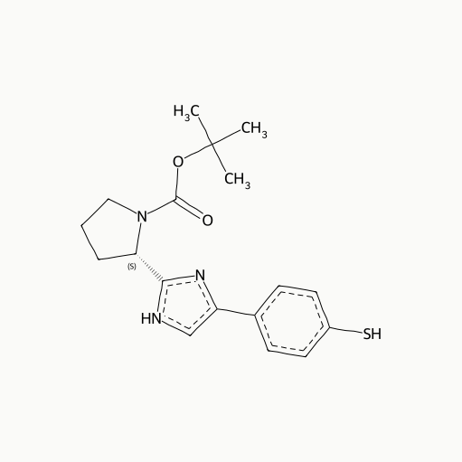 CC(C)(C)OC(=O)N1CCC[C@H]1c1nc(-c2ccc(S)cc2)c[nH]1